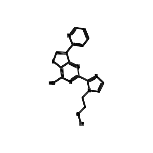 CCOCCn1ccnc1-c1nc(O)c2scc(-c3ccccn3)c2n1